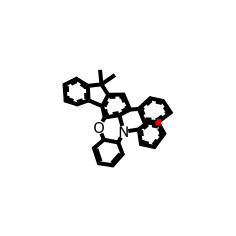 CC1(C)c2ccccc2-c2c1cc(-c1ccccc1)c1c2OC2C=CC=CC2N1c1ccccc1